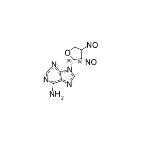 Nc1ncnc2c1ncn2[C@@H]1OCC(N=O)[C@@H]1N=O